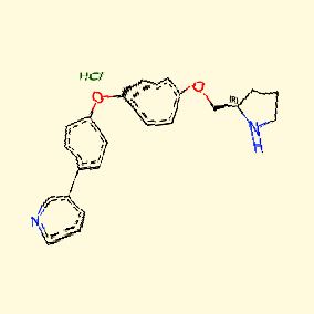 Cl.c1cncc(-c2ccc(Oc3ccc(OC[C@H]4CCCN4)cc3)cc2)c1